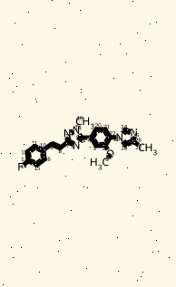 COc1cc(-c2nc(/C=C/c3ccc(F)cc3)nn2C)ccc1-n1cnc(C)c1